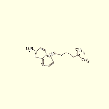 CN(C)CCCNc1ccnc2cc([N+](=O)[O-])ccc12